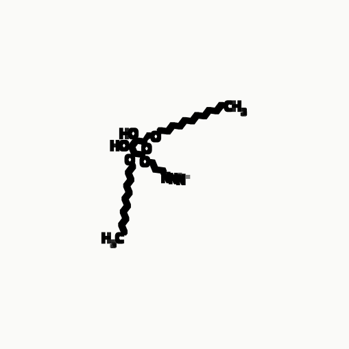 CCCCCCCCCCCCOC[C@H]1O[C@@H](OCCCN=[N+]=[N-])[C@H](OCCCCCCCCCCCC)[C@@H](O)[C@H]1O